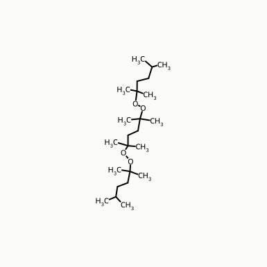 CC(C)CCC(C)(C)OOC(C)(C)CCC(C)(C)OOC(C)(C)CCC(C)C